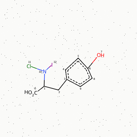 O=C(O)C(Cc1ccc(O)cc1)N(Cl)I